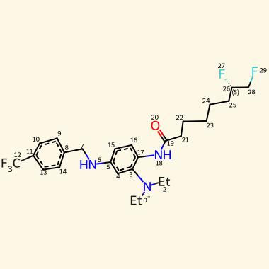 CCN(CC)c1cc(NCc2ccc(C(F)(F)F)cc2)ccc1NC(=O)CCCCC[C@H](F)CF